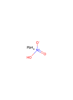 O=[N+]([O-])O.[PbH4]